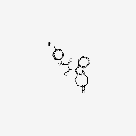 CC(C)c1ccc(NC(=O)C(=O)c2c3n(c4ccccc24)CCNCC3)cc1